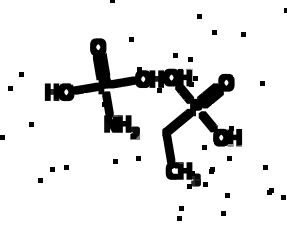 CCP(=O)(O)O.NP(=O)(O)O